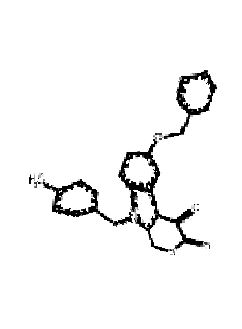 Cc1ccc(Cn2c3c(c4cc(OCc5ccccc5)ccc42)C(=O)C(=O)OC3)cc1